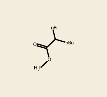 CCCCC(CCC)C(=O)OP